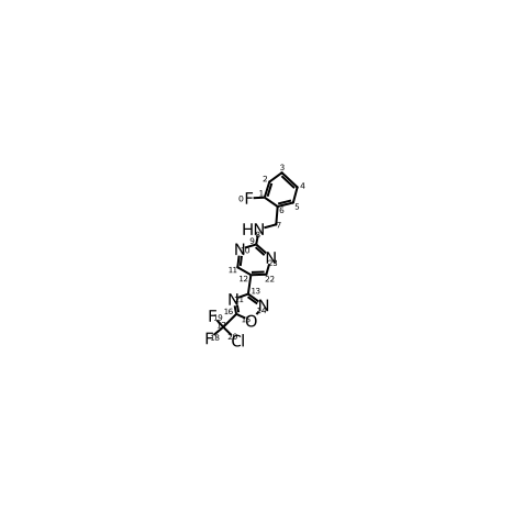 Fc1ccccc1CNc1ncc(-c2noc(C(F)(F)Cl)n2)cn1